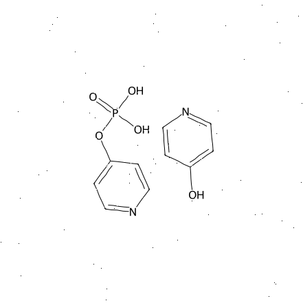 O=P(O)(O)Oc1ccncc1.Oc1ccncc1